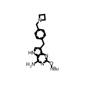 CCCCOc1nc(N)c2[nH]cc(Cc3ccc(CN4CCC4)cc3)c2n1